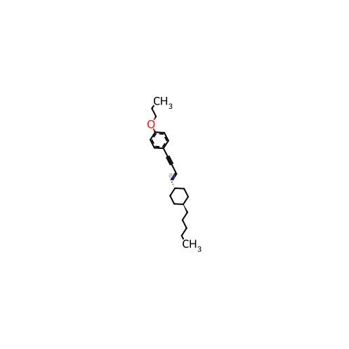 CCCCC[C@H]1CC[C@H](/C=C/C#Cc2ccc(OCCC)cc2)CC1